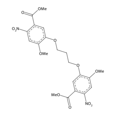 COC(=O)c1cc(OCCCOc2cc(C(=O)OC)c([N+](=O)[O-])cc2OC)c(OC)cc1[N+](=O)[O-]